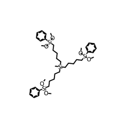 CO[Si](CCCCC[Si](C)(CCCCC[Si](OC)(OC)c1ccccc1)CCCCC[Si](OC)(OC)c1ccccc1)(OC)c1ccccc1